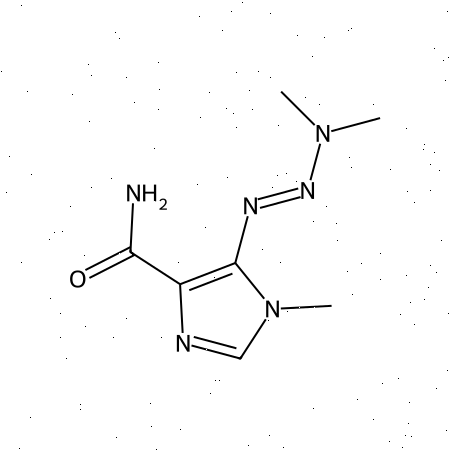 CN(C)/N=N/c1c(C(N)=O)ncn1C